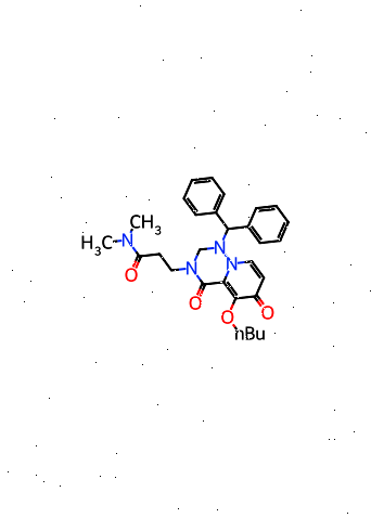 CCCCOc1c2n(ccc1=O)N(C(c1ccccc1)c1ccccc1)CN(CCC(=O)N(C)C)C2=O